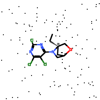 CC[C@@]12COC(CN1c1nc(Cl)nc(Cl)c1Cl)C2